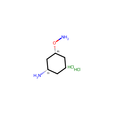 Cl.Cl.NO[C@@H]1CCC[C@H](N)C1